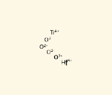 [Hf+4].[O-2].[O-2].[O-2].[O-2].[Ti+4]